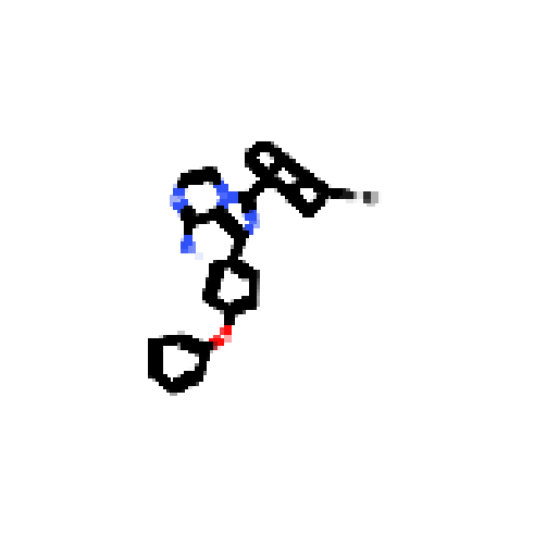 Nc1nccn2c(C34C5C6C3C3C4C5C63C(=O)O)nc(-c3ccc(Oc4ccccc4)cc3)c12